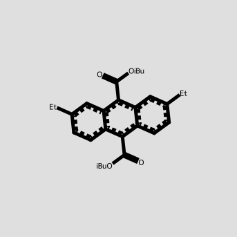 CCc1ccc2c(C(=O)OCC(C)C)c3ccc(CC)cc3c(C(=O)OCC(C)C)c2c1